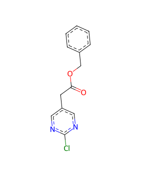 O=C(Cc1cnc(Cl)nc1)OCc1ccccc1